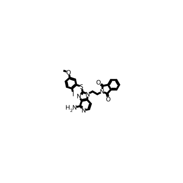 COc1ccc(I)c(Sc2nc3c(N)nccc3n2CCN2C(=O)c3ccccc3C2=O)c1